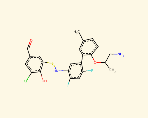 Cc1ccc(OC(C)CN)c(-c2cc(NSc3cc(C=O)cc(Cl)c3O)c(F)cc2F)c1